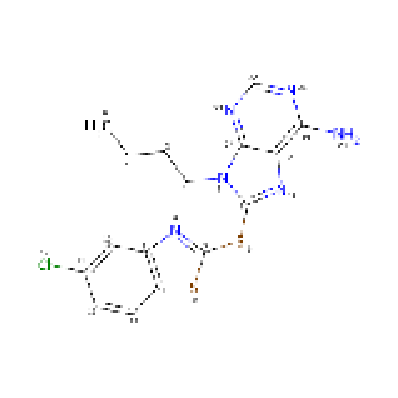 CCCCn1c(Sc2nc3cc(Cl)ccc3s2)nc2c(N)ncnc21